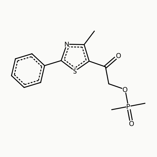 Cc1nc(-c2ccccc2)sc1C(=O)COP(C)(C)=O